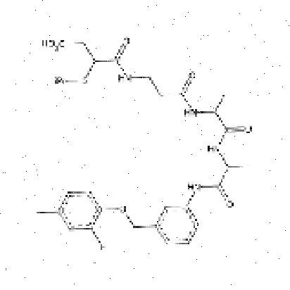 Cc1ccc(OCc2cccc(NC(=O)C(C)NC(=O)C(C)NC(=O)CCNC(=O)C(CC(=O)O)SC(C)C)c2)c(F)c1